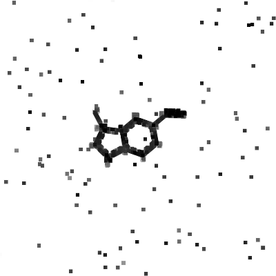 CNc1ccc2ncn(C)c2c1